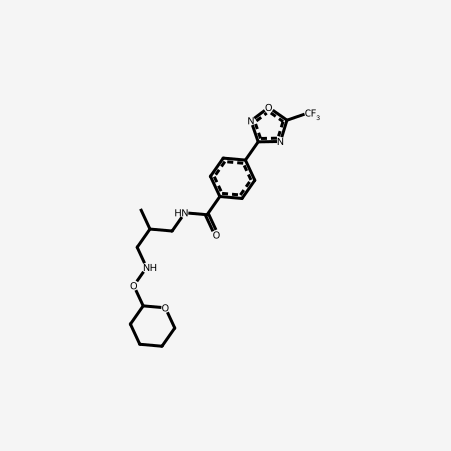 CC(CNOC1CCCCO1)CNC(=O)c1ccc(-c2noc(C(F)(F)F)n2)cc1